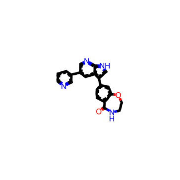 O=C1NCCOc2cc(-c3c[nH]c4ncc(-c5cccnc5)cc34)ccc21